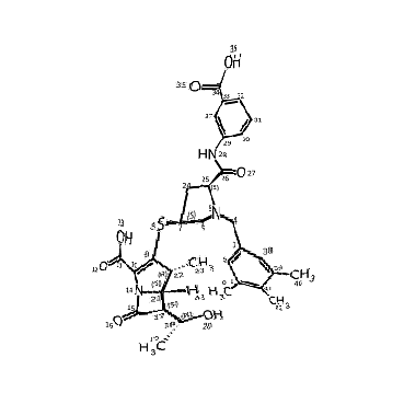 Cc1cc(CN2C[C@@H](SC3=C(C(=O)O)N4C(=O)[C@H]([C@@H](C)O)[C@H]4[C@H]3C)C[C@H]2C(=O)Nc2cccc(C(=O)O)c2)cc(C)c1C